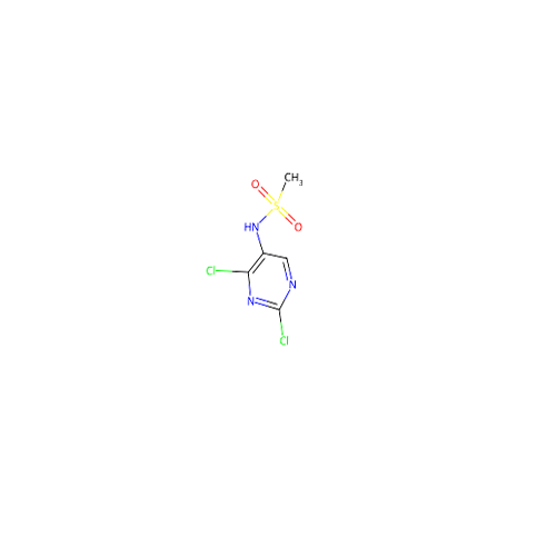 CS(=O)(=O)Nc1cnc(Cl)nc1Cl